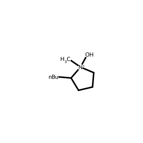 CCCCC1CCC[N+]1(C)O